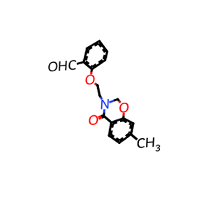 Cc1ccc2c(c1)OCN(CCOc1ccccc1C=O)C2=O